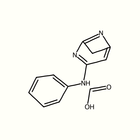 O=CO.c1ccc(Nc2cc3nc(n2)C3)cc1